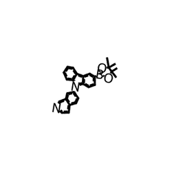 CC1(C)OB(c2ccc3c(c2)c2ccccc2n3-c2ccc3ccncc3c2)OC1(C)C